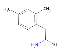 CCC(N)Cc1ccc(C)cc1C